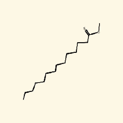 CCCCCCCCCCCCCC(=S)OC